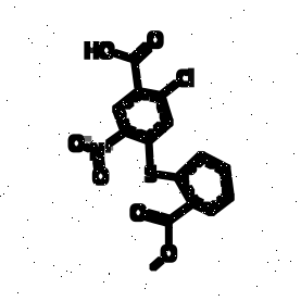 COC(=O)c1ccccc1Sc1cc(Cl)c(C(=O)O)cc1[N+](=O)[O-]